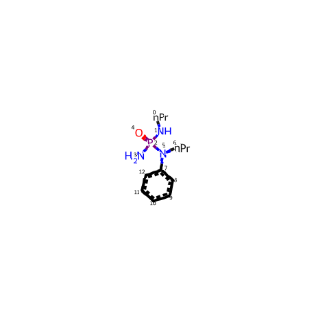 CCCNP(N)(=O)N(CCC)c1ccccc1